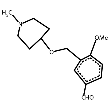 COc1ccc(C=O)cc1COC1CCN(C)CC1